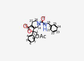 CC(=O)OCC1(c2ccccc2)OC(=O)C2=C1CN(C(=O)NCc1ccccc1)CC2